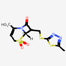 Cc1nnc(SCC2C(=O)N3C(C(=O)O)=CCS(=O)(=O)[C@@H]23)s1